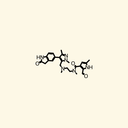 Cc1cc(C(=O)N(C)CCN(C)Cc2c(-c3ccc4c(c3)CC(=O)N4)c(C)nn2C)c(C=O)[nH]1